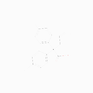 C=CCC(C(=O)O)(c1ccc(C)cc1)c1ccc(C)cc1